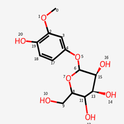 COc1cc(OC2OC(CO)C(O)[C@H](O)[C@@H]2O)ccc1O